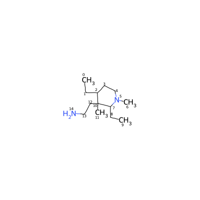 CCC1CCN(C)C(CC)C1(C)CCN